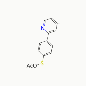 CC(=O)OSc1ccc(-c2c[c]ccn2)cc1